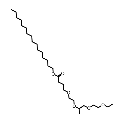 CCCCCCCCCCCCCCCCOC(=O)CCCOCCOC(C)COCCOCC